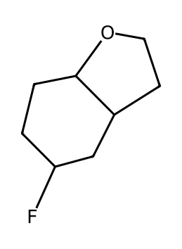 FC1CCC2OCCC2C1